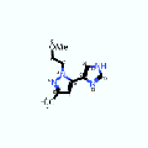 COCCn1nc(C)cc1-c1c[nH]cn1